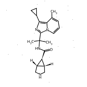 Cc1cccn2c(C(C)(C)NC(=O)[C@H]3[C@@H]4CNC[C@@H]43)nc(C3CC3)c12